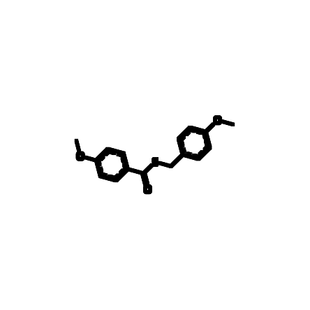 COc1ccc(CSC(=O)c2ccc(OC)cc2)cc1